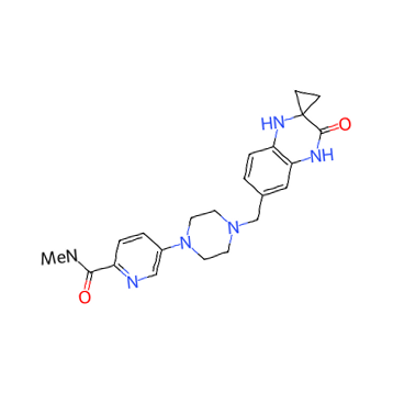 CNC(=O)c1ccc(N2CCN(Cc3ccc4c(c3)NC(=O)C3(CC3)N4)CC2)cn1